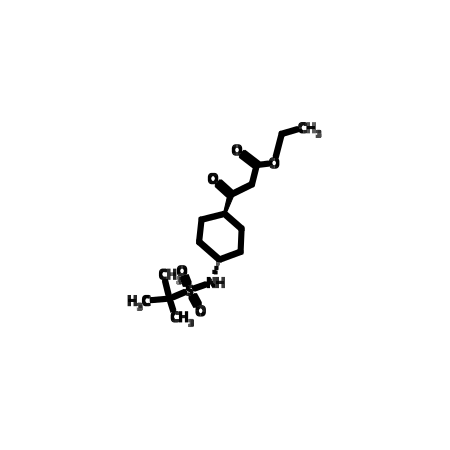 CCOC(=O)CC(=O)[C@H]1CC[C@H](NS(=O)(=O)C(C)(C)C)CC1